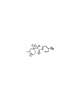 CC1CC(CC(=O)c2ccc(Br)cc2)(C(=O)O)CCO1